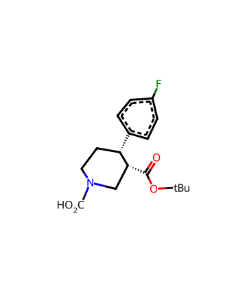 CC(C)(C)OC(=O)[C@@H]1CN(C(=O)O)CC[C@@H]1c1ccc(F)cc1